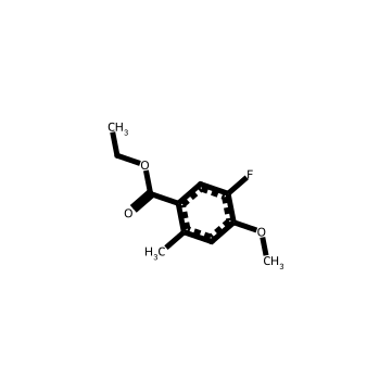 CCOC(=O)c1cc(F)c(OC)cc1C